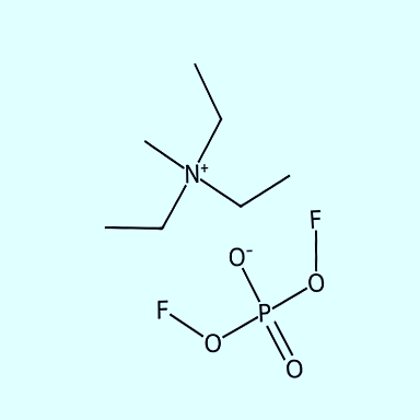 CC[N+](C)(CC)CC.O=P([O-])(OF)OF